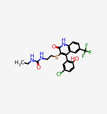 CCNC(=O)NCCSc1c(-c2cc(Cl)ccc2O)c2cc(C(F)(F)F)ccc2[nH]c1=O